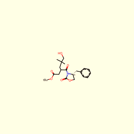 CC(C)(CO)CC(CC(=O)OC(C)(C)C)C(=O)N1C(=O)OC[C@H]1Cc1ccccc1